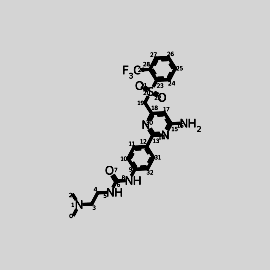 CN(C)CCNC(=O)Nc1ccc(-c2nc(N)cc(CS(=O)(=O)c3ccccc3C(F)(F)F)n2)cc1